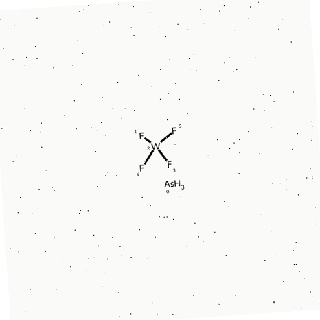 [AsH3].[F][W]([F])([F])[F]